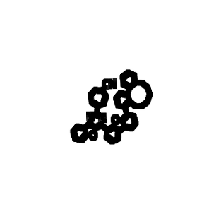 N#CC1=CCC=C(c2nc(-c3cccc4c3oc3c(-c5cccc6c5CCCCCCc5ccccc5-6)cccc34)c3oc4ccccc4c3n2)C=C1